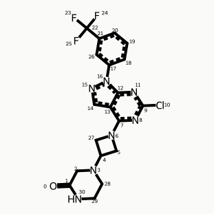 O=C1CN(C2CN(c3nc(Cl)nc4c3cnn4-c3cccc(C(F)(F)F)c3)C2)CCN1